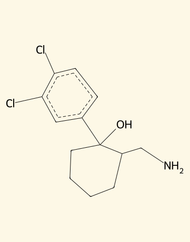 NCC1CCCCC1(O)c1ccc(Cl)c(Cl)c1